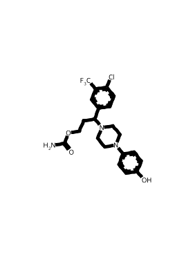 NC(=O)OCCC(c1ccc(Cl)c(C(F)(F)F)c1)N1CCN(c2ccc(O)cc2)CC1